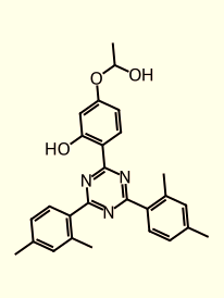 Cc1ccc(-c2nc(-c3ccc(C)cc3C)nc(-c3ccc(OC(C)O)cc3O)n2)c(C)c1